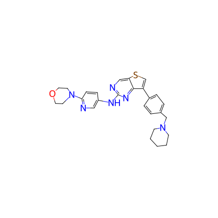 c1cc(-c2csc3cnc(Nc4ccc(N5CCOCC5)nc4)nc23)ccc1CN1CCCCC1